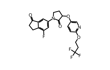 O=C1CCc2c(F)cc(N3CCC(Oc4ccc(OCCC(F)(F)F)nc4)C3=O)cc21